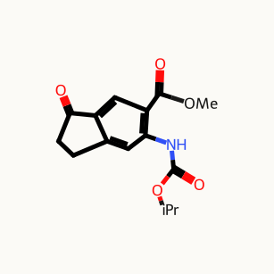 COC(=O)c1cc2c(cc1NC(=O)OC(C)C)CCC2=O